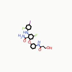 NC(=O)c1c(Nc2ccc(I)cc2F)cc(F)cc1Oc1cccc(NC(=O)CCO)c1